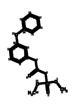 COP(=O)(CC(=O)Cc1cccc(Oc2ccccc2)c1)OC